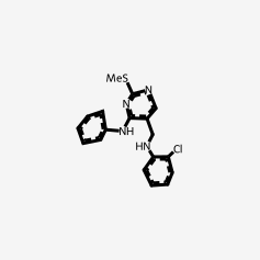 CSc1ncc(CNc2ccccc2Cl)c(Nc2ccccc2)n1